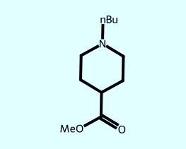 CCCCN1CCC(C(=O)OC)CC1